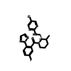 CC1CCCN(C(=O)c2cc(F)ccc2-n2nccn2)[C@@H]1CNc1ncc(Cl)cn1